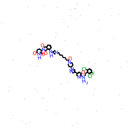 CC(Oc1cc(-c2cnn(C3CCN(C(=O)CCCCCCN4CC(Nc5cccc6c5C(=O)N(C5CCC(=O)NC5=O)C6=O)C4)CC3)c2)cnc1N)c1c(Cl)ccc(F)c1Cl